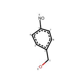 [O]Cc1ccc(N=O)cc1